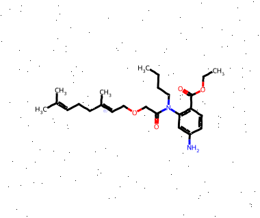 CCCCN(C(=O)COC/C=C(\C)CCC=C(C)C)c1cc(N)ccc1C(=O)OCC